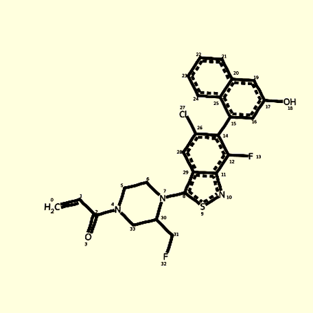 C=CC(=O)N1CCN(c2snc3c(F)c(-c4cc(O)cc5ccccc45)c(Cl)cc23)C(CF)C1